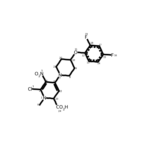 CN1C(Cl)=C([N+](=O)[O-])C(N2CCC(Oc3ccc(F)cc3F)CC2)=CC1C(=O)O